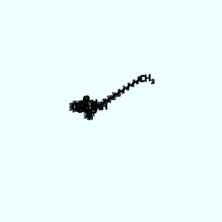 CCCCCCCCCCCCCCCCCCNC(=O)OCC1(COC(=O)N(Cc2ccccn2)C(C)=O)CCC1